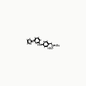 CCCCN(CCCC)Cc1ccc(Nc2cccc(-c3nccs3)n2)nc1